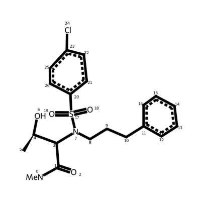 CNC(=O)C([C@@H](C)O)N(CCCc1ccccc1)S(=O)(=O)c1ccc(Cl)cc1